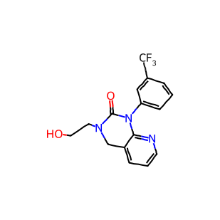 O=C1N(CCO)Cc2cccnc2N1c1cccc(C(F)(F)F)c1